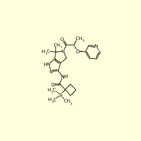 CC(Oc1cccnc1)C(=O)N1Cc2c(NC(=O)C3([Si](C)(C)C)CCC3)n[nH]c2C1(C)C